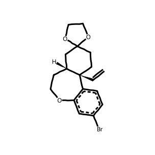 C=C[C@]12CCC3(C[C@H]1CCOc1cc(Br)ccc12)OCCO3